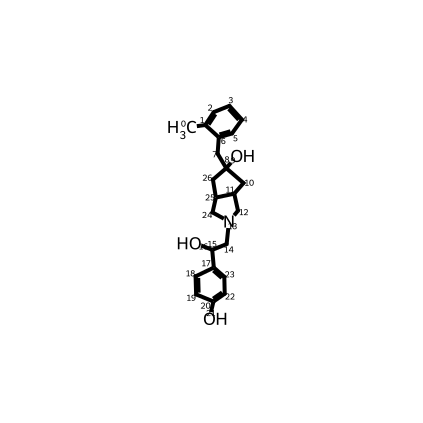 Cc1ccccc1CC1(O)CC2CN(CC(O)c3ccc(O)cc3)CC2C1